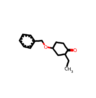 CCC1CC(OCc2ccccc2)CCC1=O